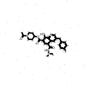 CC(=O)N1CCC(OC(=O)c2cc(C(=O)NN(C)C)c3cc(Cc4ccc(F)cc4)cnc3c2O)CC1